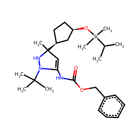 CC(C)[Si](C)(C)O[C@@H]1CC[C@H](C2(C)C=C(NC(=O)OCc3ccccc3)N(C(C)(C)C)N2)C1